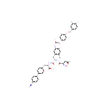 Cc1cc(C(=O)N2Cc3cc4c(cc3C[C@H]2C(=O)NC(Cc2ccc(-c3ccc(C#N)cc3)cc2)C(=O)O)NC(=O)[C@H](c2ccc(OCc3ccc(Cl)c(Cl)c3)cc2)O4)no1